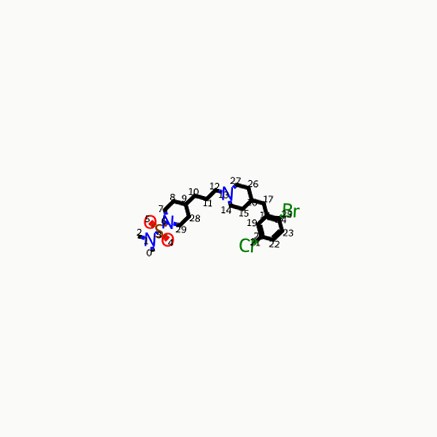 CN(C)S(=O)(=O)N1CCC(CCCN2CCC(Cc3cc(Cl)ccc3Br)CC2)CC1